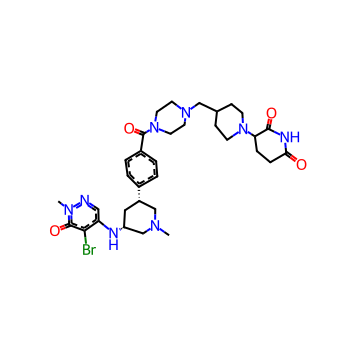 CN1C[C@H](Nc2cnn(C)c(=O)c2Br)C[C@H](c2ccc(C(=O)N3CCN(CC4CCN(C5CCC(=O)NC5=O)CC4)CC3)cc2)C1